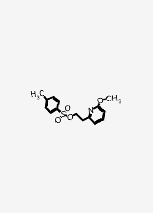 COc1cccc(CCOS(=O)(=O)c2ccc(C)cc2)n1